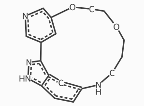 c1cc2[nH]nc3c2cc1NCCCOCCOc1cncc-3c1